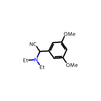 CCN(CC)C(C#N)c1cc(OC)cc(OC)c1